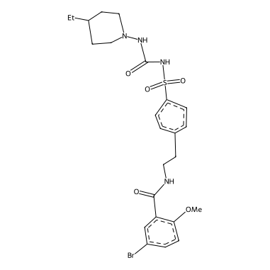 CCC1CCN(NC(=O)NS(=O)(=O)c2ccc(CCNC(=O)c3cc(Br)ccc3OC)cc2)CC1